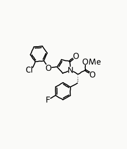 COC(=O)[C@H](Cc1ccc(F)cc1)N1CC(Oc2ccccc2Cl)=CC1=O